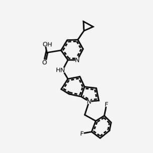 O=C(O)c1cc(C2CC2)cnc1Nc1ccc2c(ccn2Cc2c(F)cccc2F)c1